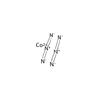 [Co+2].[N-]=[N+]=[N-].[N-]=[N+]=[N-]